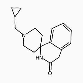 O=C1Cc2ccccc2C2(CCN(CC3CC3)CC2)N1